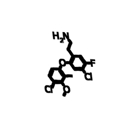 COc1c(Cl)ccc(Oc2cc(Cl)c(F)cc2CCN)c1C